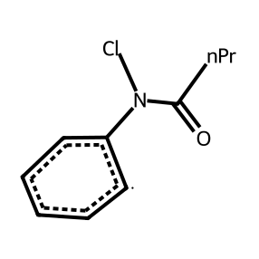 CCCC(=O)N(Cl)c1[c]cccc1